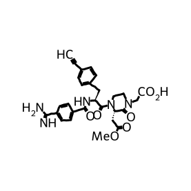 C#Cc1ccc(C[C@H](NC(=O)c2ccc(C(=N)N)cc2)C(=O)N2CCN(CC(=O)O)C(=O)[C@@H]2CC(=O)OC)cc1